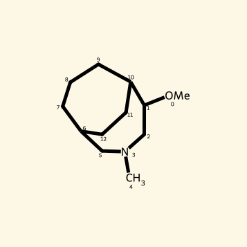 COC1CN(C)CC2CCCC1CC2